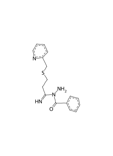 N=C(CCSCc1ccccn1)N(N)C(=O)c1ccccc1